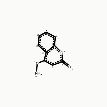 NOc1cc(=O)oc2ccccc12